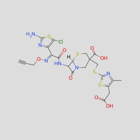 C#CCON=C(C(=O)NC1C(=O)N2CC(CSc3nc(C)c(CC(=O)O)s3)(C(=O)O)CS[C@H]12)c1nc(N)sc1Cl